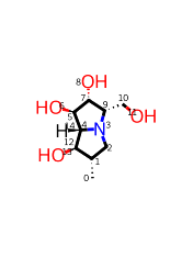 C[C@H]1CN2[C@@H]([C@@H](O)[C@H](O)[C@@H]2CO)[C@@H]1O